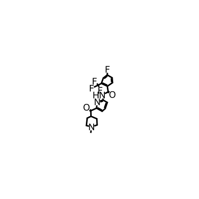 CN1CCC(C(=O)c2cccc(NC(=O)c3ccc(F)cc3C(F)(F)F)n2)CC1